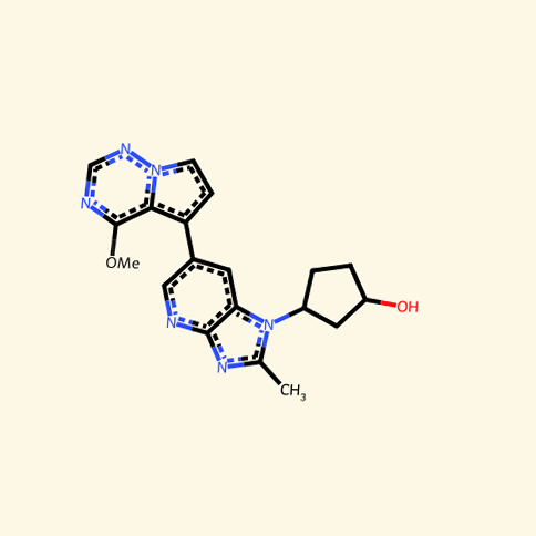 COc1ncnn2ccc(-c3cnc4nc(C)n(C5CCC(O)C5)c4c3)c12